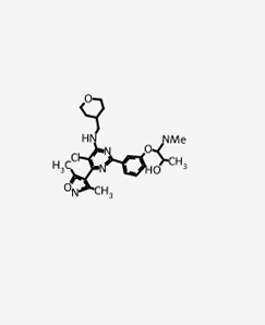 CNC(Oc1cccc(-c2nc(NCC3CCOCC3)c(Cl)c(-c3c(C)noc3C)n2)c1)C(C)O